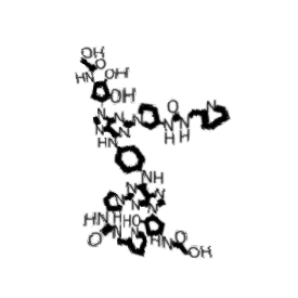 O=C(CO)N[C@@H]1C[C@@H](O)[C@H](n2cnc3c(N[C@H]4CC[C@H](Nc5nc(N6CC[C@@H](NC(=O)NCc7ccccn7)C6)nc6c5ncn6[C@@H]5C[C@H](NC(=O)CO)[C@@H](O)[C@H]5O)CC4)nc(N4CC[C@@H](NC(=O)NCc5ccccn5)C4)nc32)C1